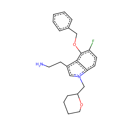 NCCc1cn(CC2CCCCO2)c2ccc(F)c(OCc3ccccc3)c12